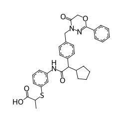 CC(Sc1cccc(NC(=O)C(c2ccc(CN3N=C(c4ccccc4)OCC3=O)cc2)C2CCCC2)c1)C(=O)O